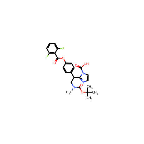 CN(CC(c1ccc(OC(=O)c2c(F)cccc2F)cc1)c1nccn1C(=O)O)C(=O)OC(C)(C)C